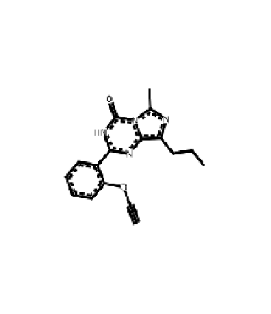 C#COc1ccccc1-c1nc2c(CCC)nc(C)n2c(=O)[nH]1